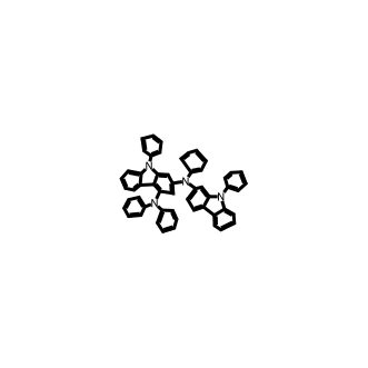 c1ccc(N(c2ccc3c4ccccc4n(-c4ccccc4)c3c2)c2cc(N(c3ccccc3)c3ccccc3)c3c4ccccc4n(-c4ccccc4)c3c2)cc1